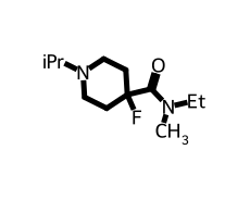 CCN(C)C(=O)C1(F)CCN(C(C)C)CC1